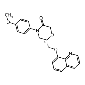 COc1ccc(N2C[C@@H](COc3cccc4cccnc34)OCC2=O)cc1